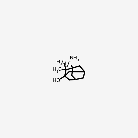 CC12CC3CC(C1)CC(O)(C3)C2(C)C.N